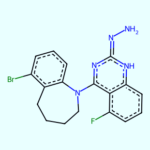 N/N=c1/nc(N2CCCCc3c(Br)cccc32)c2c(F)cccc2[nH]1